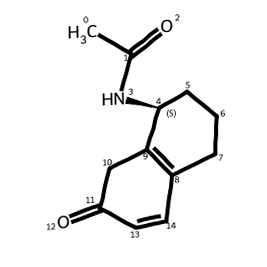 CC(=O)N[C@H]1CCCC2=C1CC(=O)C=C2